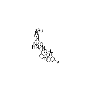 Cn1cc(-c2cccc(-n3ccc4cc(C5CC5)cc(F)c4c3=O)c2CO)cc(Nc2ccc(N3CCN(C(C)(C)C)CC3)cn2)c1=O